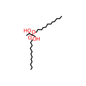 CCCCCCCCCCCCOC(CO)(OCCCCCCCCCCCC)C(C)O